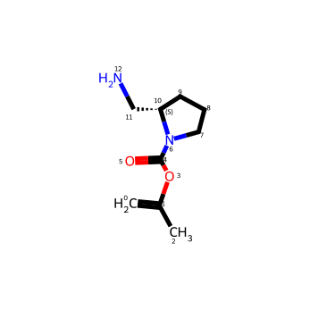 C=C(C)OC(=O)N1CCC[C@H]1CN